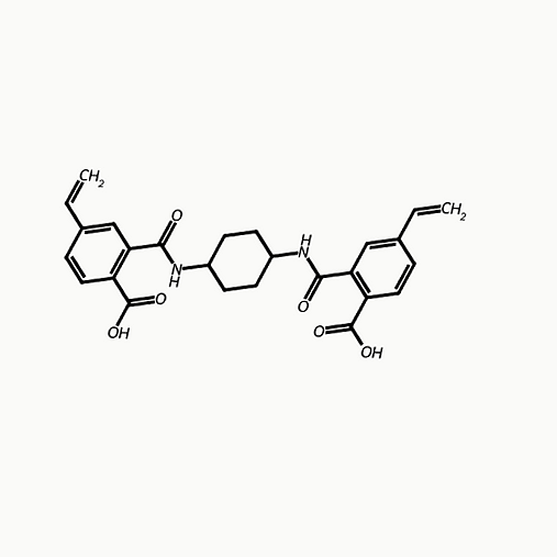 C=Cc1ccc(C(=O)O)c(C(=O)NC2CCC(NC(=O)c3cc(C=C)ccc3C(=O)O)CC2)c1